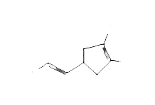 CC=CC1CC(O)=C(O)C1